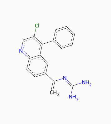 C=C(N=C(N)N)c1ccc2ncc(Cl)c(-c3ccccc3)c2c1